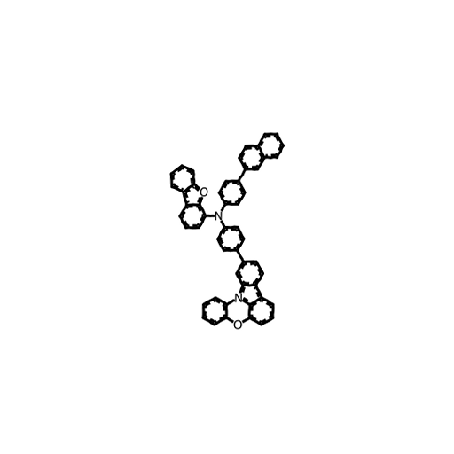 c1ccc2c(c1)Oc1cccc3c4ccc(-c5ccc(N(c6ccc(-c7ccc8ccccc8c7)cc6)c6cccc7c6oc6ccccc67)cc5)cc4n-2c13